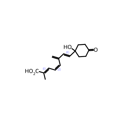 C=C(/C=C\C=C(/C)C(=O)O)/C=C/C1(O)CCC(=O)CC1